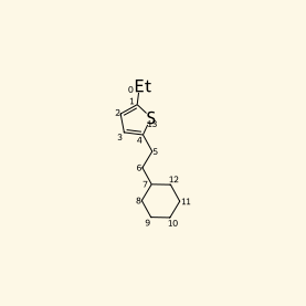 CCc1ccc(CCC2CCCCC2)s1